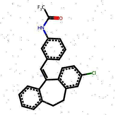 O=C(Nc1cccc(/C=C2/c3ccccc3CCc3cc(Cl)ccc32)c1)C(F)(F)F